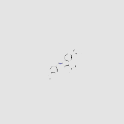 CC1=C(C(C)C(=O)O)c2cc(N(C)C)ccc2/C1=C/c1ccc([S+](C)[O-])cc1